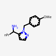 CCCC(N)c1ccnn1Cc1ccc(OC)cc1